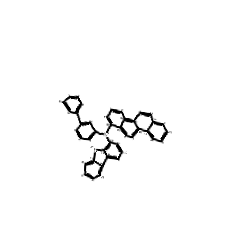 c1ccc(-c2cccc(N(c3cccc4c3ccc3c5ccccc5ccc43)c3cccc4c3oc3ccccc34)c2)cc1